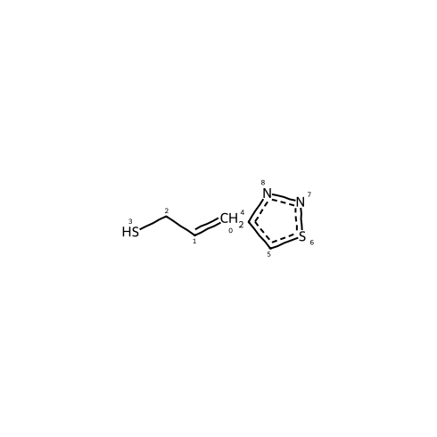 C=CCS.c1csnn1